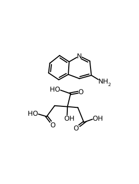 Nc1cnc2ccccc2c1.O=C(O)CC(O)(CC(=O)O)C(=O)O